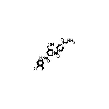 NCC(=O)N1CCN(C(=O)N2C[C@H](CO)C[C@H](C(=O)Nc3ccc(Cl)c(F)c3)C2)CC1